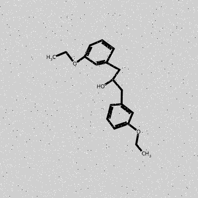 CCOc1cccc(CC(O)Cc2cccc(OCC)c2)c1